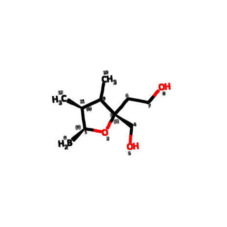 B[C@@H]1O[C@@](CO)(CCO)C(C)[C@@H]1C